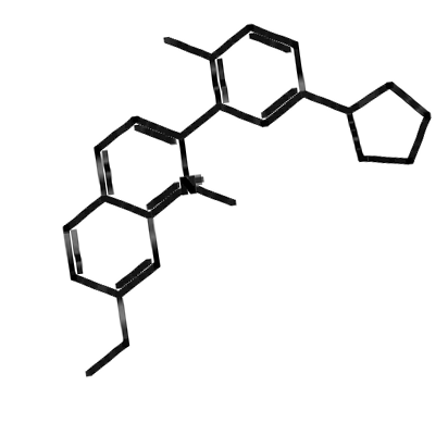 CCc1ccc2ccc(-c3cc(C4CCCC4)ccc3C)[n+](C)c2c1